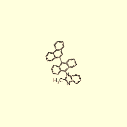 Cc1nc2ccccc2n1-c1c2ccccc2c(-c2cc3ccccc3c3ccccc23)c2ccccc12